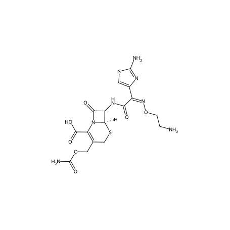 NCCO/N=C(\C(=O)NC1C(=O)N2C(C(=O)O)=C(COC(N)=O)CS[C@H]12)c1csc(N)n1